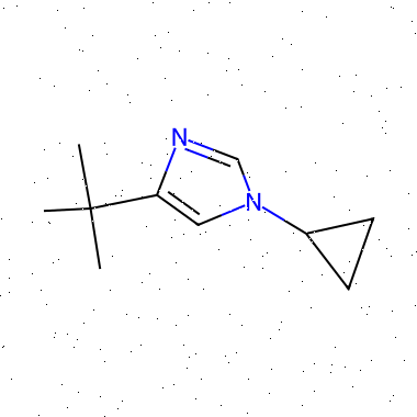 CC(C)(C)c1cn(C2CC2)cn1